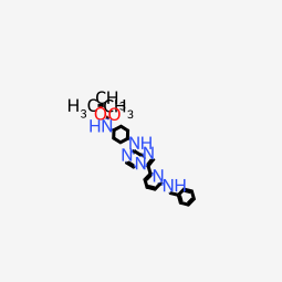 CC(C)(C)OC(=O)N[C@H]1CC[C@H](Nc2nccn3c(-c4cccc(NCc5ccccc5)n4)cnc23)CC1